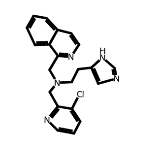 Clc1cccnc1CN(CCc1cnc[nH]1)Cc1nccc2ccccc12